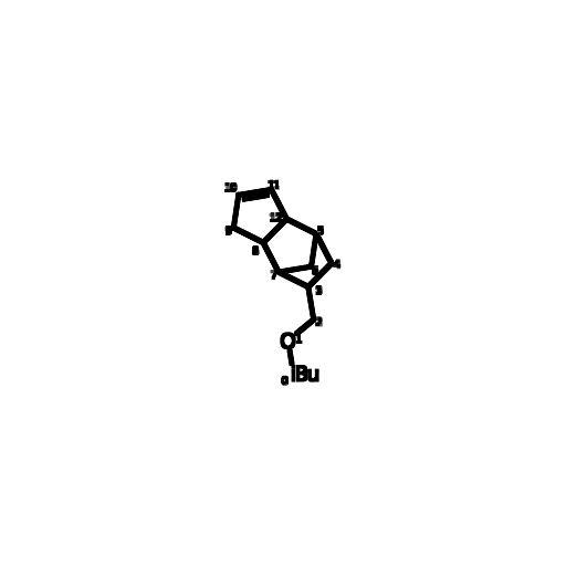 CCC(C)OCC1CC2CC1C1CC=CC21